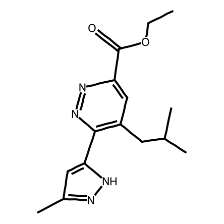 CCOC(=O)c1cc(CC(C)C)c(-c2cc(C)n[nH]2)nn1